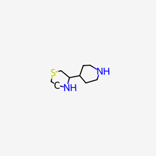 C1CC(C2CSCCN2)CCN1